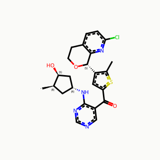 [CH2][C@@H]1C[C@@H](Nc2ncncc2C(=O)c2cc([C@@H]3OCCc4ccc(Cl)nc43)c(C)s2)C[C@@H]1O